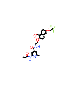 CCC(=O)Nc1cc(C(=O)NCCOc2ccc3cc(OCC(F)(F)F)ccc3c2C=O)cc(C)n1